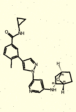 Cc1ccc(C(=O)NC2CC2)cc1-c1cnn(-c2cncc(N[C@@H]3C[C@H]4CC[C@H]3O4)c2)c1